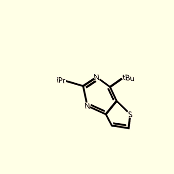 CC(C)c1nc(C(C)(C)C)c2sccc2n1